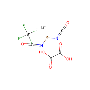 F[B-](F)(F)F.O=C(O)C(=O)O.O=C=NSN=C=O.[Li+]